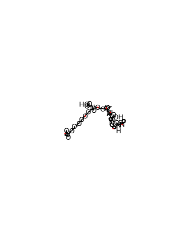 Cc1c(-c2ccc(N3CCc4cccc(C(=O)Nc5nc6ccccc6s5)c4C3)nc2C(=O)O)cnn1CC12CC3(C)CC(C)(C1)CC(OCCOCCN(CCS(=O)(=O)O)C(=O)CCOCCOCCOCCOCCOCCOCCN1C(=O)C=CC1=O)(C3)C2